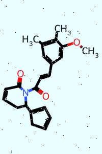 COc1cc(/C=C/C(=O)N2C(=O)C=CCC2C2=CC=CC2)cc(C)c1C